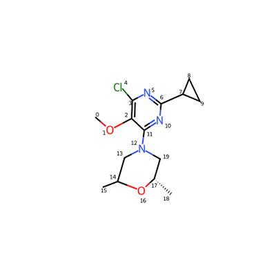 COc1c(Cl)nc(C2CC2)nc1N1CC(C)O[C@@H](C)C1